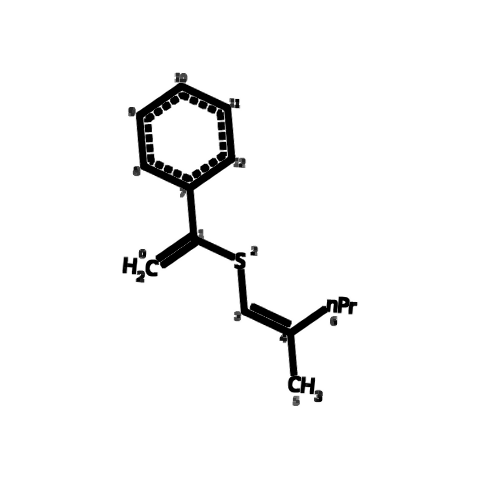 C=C(S/C=C(/C)CCC)c1ccccc1